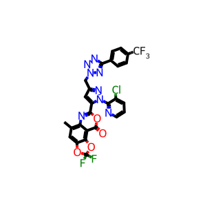 Cc1cc2c(c3c(=O)oc(-c4cc(Cn5nnc(-c6ccc(C(F)(F)F)cc6)n5)nn4-c4ncccc4Cl)nc13)OC(F)(F)O2